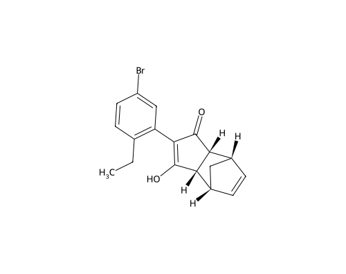 CCc1ccc(Br)cc1C1=C(O)[C@@H]2[C@H](C1=O)[C@@H]1C=C[C@H]2C1